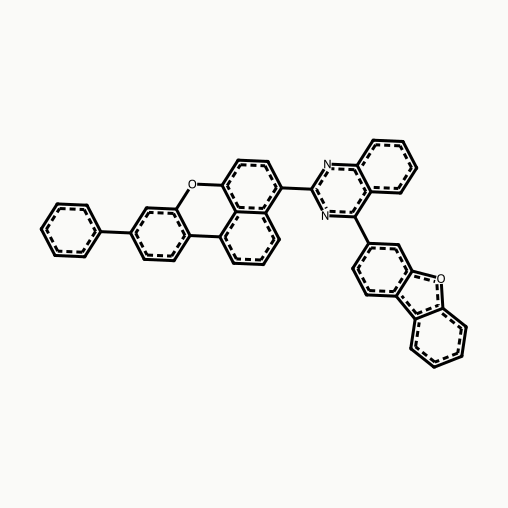 c1ccc(-c2ccc3c(c2)Oc2ccc(-c4nc(-c5ccc6c(c5)oc5ccccc56)c5ccccc5n4)c4cccc-3c24)cc1